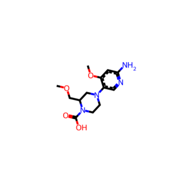 COCC1CN(c2cnc(N)cc2OC)CCN1C(=O)O